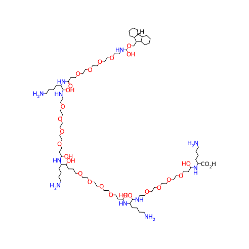 NCCCCC(NC(O)CCOCCOCCOCCOCCNC(O)C(CCCCN)NC(O)CCOCCOCCOCCOCCCC(O)C(CCCCN)NC(O)CCOCCOCCOCCOCCNC(O)C(CCCCN)NC(=O)CCOCCOCCOCCOCCNC(O)OCC1C2CCCCC2[C@H]2CCCCC12)C(=O)O